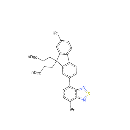 CCCCCCCCCCCCC1(CCCCCCCCCCCC)c2cc(-c3ccc(C(C)C)c4nsnc34)ccc2-c2ccc(C(C)C)cc21